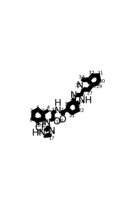 O=C(N[C@@H](Cc1cccc(C(F)(F)F)c1)C(=O)Nc1ncc[nH]1)c1ccc2[nH]c(-c3cc4ccccc4cn3)nc2c1